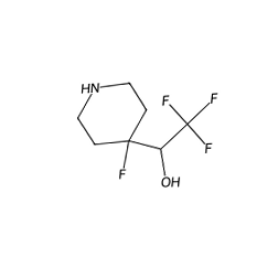 OC(C(F)(F)F)C1(F)CCNCC1